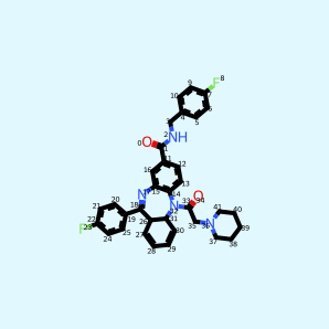 O=C(NCc1ccc(F)cc1)c1ccc2c(c1)N=C(c1ccc(F)cc1)C1C=CC=CC1N2C(=O)CN1CCCCC1